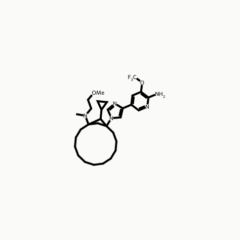 COCCN(C)C12CCCCCCCCCCCC(n3cnc(-c4cnc(N)c(OC(F)(F)F)c4)c3)(C1)C2C1CC1